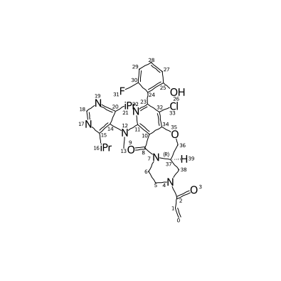 C=CC(=O)N1CCN2C(=O)c3c(N(C)c4c(C(C)C)ncnc4C(C)C)nc(-c4c(O)cccc4F)c(Cl)c3OC[C@H]2C1